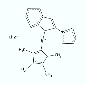 CC1=C(C)C(C)[C]([Ti+2][CH]2C(n3cccc3)=Cc3ccccc32)=C1C.[Cl-].[Cl-]